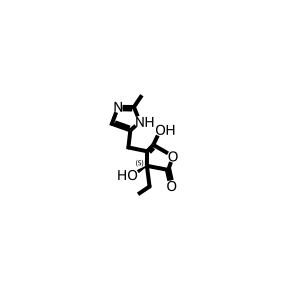 CC[C@@]1(O)C(=O)OC(O)=C1Cc1cnc(C)[nH]1